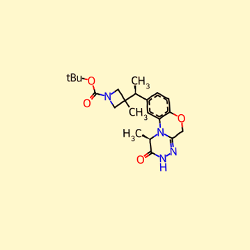 C[C@@H]1C(=O)NN=C2COc3ccc([C@H](C)C4(C)CN(C(=O)OC(C)(C)C)C4)cc3N21